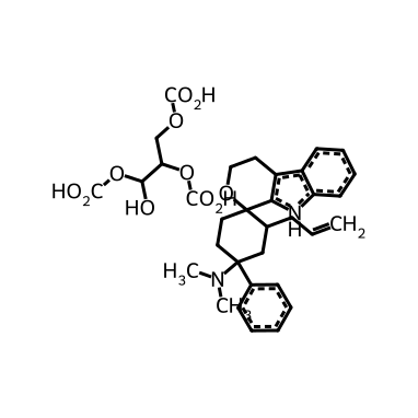 C=CCC1CC(c2ccccc2)(N(C)C)CCC12OCCc1c2[nH]c2ccccc12.O=C(O)OCC(OC(=O)O)C(O)OC(=O)O